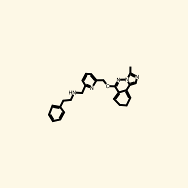 Cc1ncc2c3c(c(OCc4cccc(CNCCc5ccccc5)n4)nn12)=CCCC=3